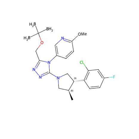 BC(B)(B)OCc1nnc(N2C[C@H](c3ccc(F)cc3Cl)[C@@H](C)C2)n1-c1ccc(OC)nc1